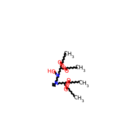 CCCCCCCC(=O)OCC(CCCCN(CCO)CCCCN(CCCCC(COC(=O)CCCCCCC)COC(=O)CCCCCCC)C1CCC1)COC(=O)CCCCCCC